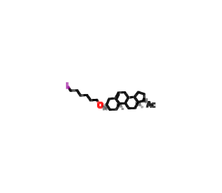 CC(=O)[C@H]1CCC2C3CC=C4C[C@@H](OCCCCCCI)CC[C@]4(C)C3CC[C@@]21C